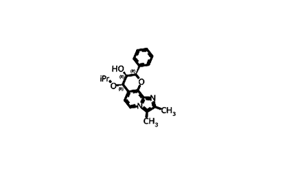 Cc1nc2c3c(ccn2c1C)[C@@H](OC(C)C)[C@@H](O)[C@@H](c1ccccc1)O3